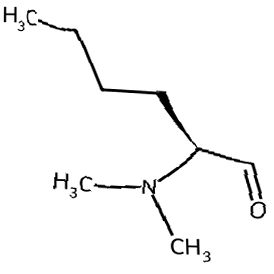 CCCC[C@@H](C=O)N(C)C